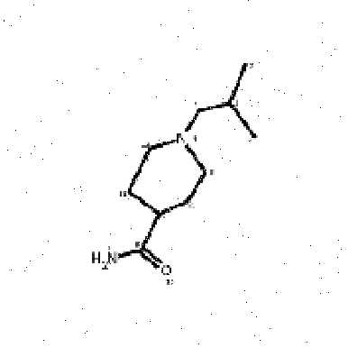 C[C](C)CN1CCC(C(N)=O)CC1